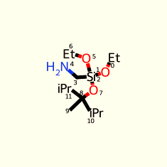 CCO[Si](CN)(OCC)OC(C)(C(C)C)C(C)C